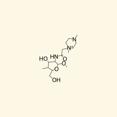 COC1OC(CO)C(C)C(O)C1NC(=O)C[N+]1(C)CCN(C)CC1